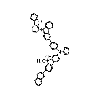 CC1(C)c2cc(-c3ccc4ccccc4c3)ccc2-c2ccc(N(c3ccccc3)c3ccc(-c4ccc5c(c4)c4ccccc4n5C4=C5Oc6ccccc6C5CC=C4)cc3)cc21